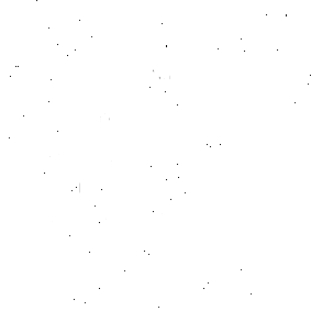 Cc1cc(C)c(C(=O)P(=O)(O)O)c(C)c1.[NaH]